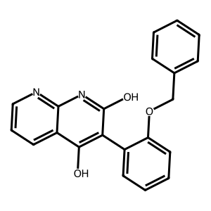 Oc1nc2ncccc2c(O)c1-c1ccccc1OCc1ccccc1